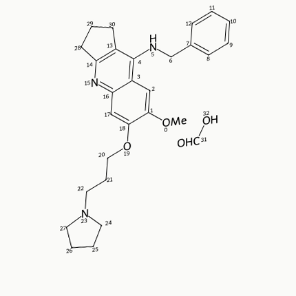 COc1cc2c(NCc3ccccc3)c3c(nc2cc1OCCCN1CCCC1)CCC3.O=CO